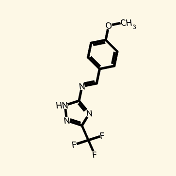 COc1ccc(/C=N/c2nc(C(F)(F)F)n[nH]2)cc1